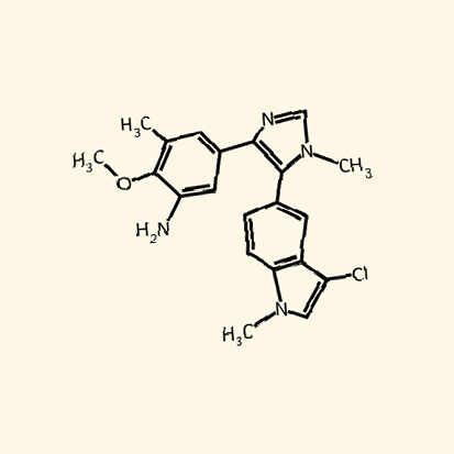 COc1c(C)cc(-c2ncn(C)c2-c2ccc3c(c2)c(Cl)cn3C)cc1N